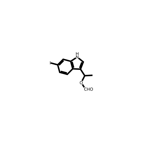 CC(OC=O)c1c[nH]c2cc(I)ccc12